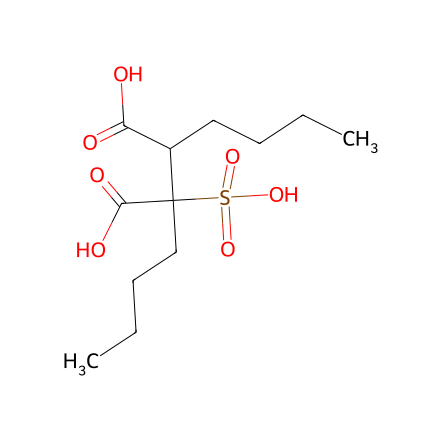 CCCCC(C(=O)O)C(CCCC)(C(=O)O)S(=O)(=O)O